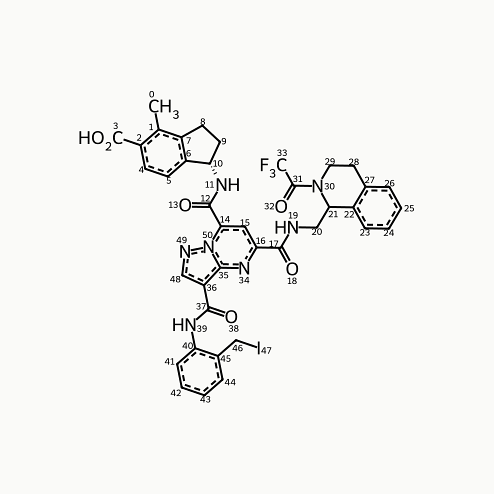 Cc1c(C(=O)O)ccc2c1CC[C@@H]2NC(=O)c1cc(C(=O)NCC2c3ccccc3CCN2C(=O)C(F)(F)F)nc2c(C(=O)Nc3ccccc3CI)cnn12